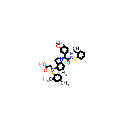 CCc1ccccc1SNC(=O)C(c1cccc(OC)c1)N1CCc2c(N(CC(=O)O)Sc3c(C)cc(C)cc3C)cccc21